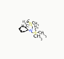 CS(C)(C)CN(CS(C)(C)C)c1ccccc1